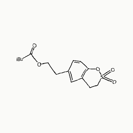 CCC(C)C(=O)OCCc1ccc2c(c1)CCS(=O)(=O)O2